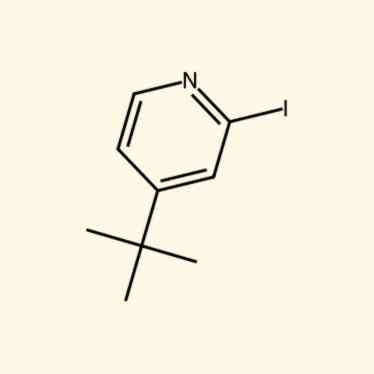 CC(C)(C)c1ccnc(I)c1